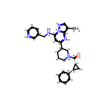 Bc1cnn2c(NCc3cccnc3)cc(C3CCCN(C(=O)[C@@H]4C[C@H]4c4ccccc4)C3)nc12